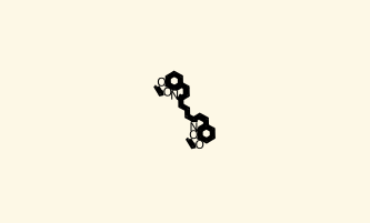 c1cc2c(nc1CCCc1ccc3c(n1)C1(CCC3)OCCO1)C1(CCC2)OCCO1